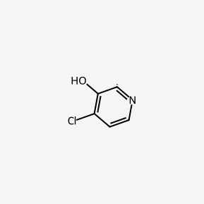 Oc1[c]nccc1Cl